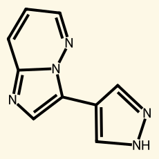 c1cnn2c(-c3cn[nH]c3)cnc2c1